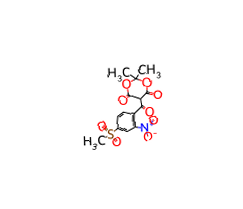 CC1(C)OC(=O)C(C(=O)c2ccc(S(C)(=O)=O)cc2[N+](=O)[O-])C(=O)O1